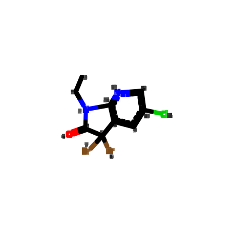 CCN1C(=O)C(Br)(Br)c2cc(Cl)cnc21